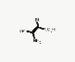 CCC/C(N)=C(\CC)C(=O)O